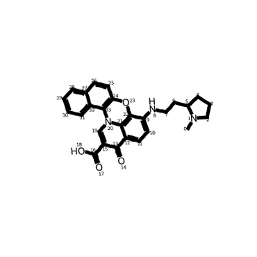 CN1CCCC1CCNc1ccc2c(=O)c(C(=O)O)cn3c2c1Oc1ccc2ccccc2c1-3